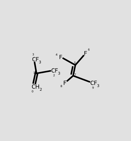 C=C(C(F)(F)F)C(F)(F)F.FC(F)=C(F)C(F)(F)F